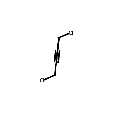 Cl[CH]C#CCCl